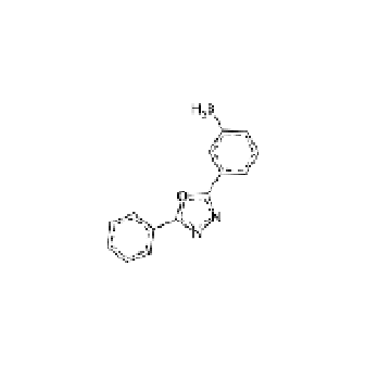 Bc1cccc(-c2nnc(-c3ccccc3)o2)c1